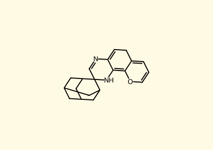 C1=COC2=C3NC4(C=NC3=CCC2=C1)C1CC2CC(C1)CC4C2